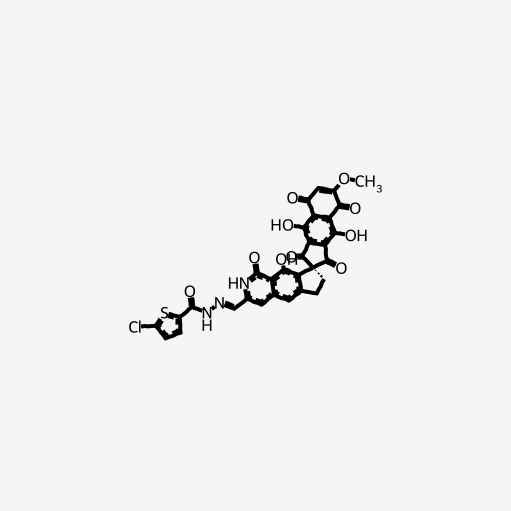 COC1=CC(=O)c2c(O)c3c(c(O)c2C1=O)C(=O)[C@]1(CCc2cc4cc(C=NNC(=O)c5ccc(Cl)s5)[nH]c(=O)c4c(O)c21)C3=O